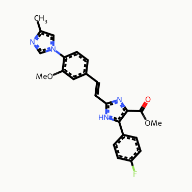 COC(=O)c1nc(C=Cc2ccc(-n3cnc(C)c3)c(OC)c2)[nH]c1-c1ccc(F)cc1